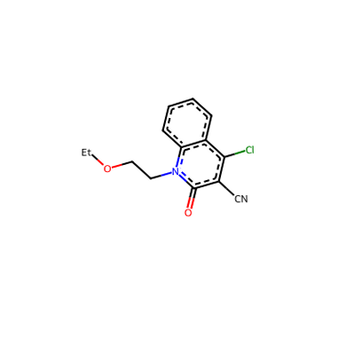 CCOCCn1c(=O)c(C#N)c(Cl)c2ccccc21